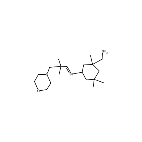 CC(C)(C=NC1CC(C)(C)CC(C)(CN)C1)CN1CCOCC1